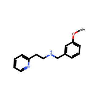 CCCOc1cccc(CNCCc2ccccn2)c1